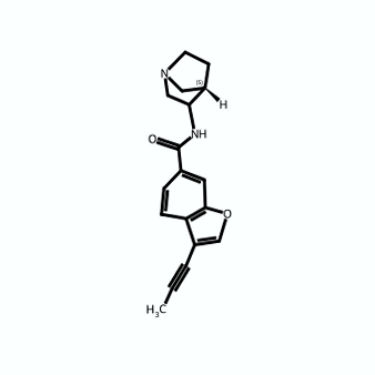 CC#Cc1coc2cc(C(=O)NC3CN4CC[C@H]3C4)ccc12